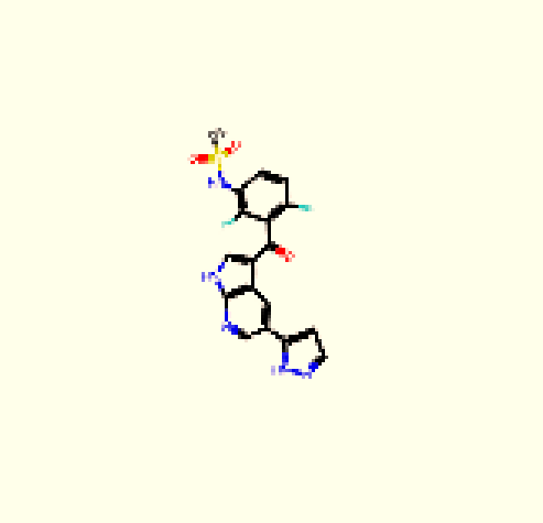 CCCS(=O)(=O)Nc1ccc(F)c(C(=O)c2c[nH]c3ncc(-c4ccn[nH]4)cc23)c1F